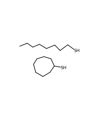 CCCCCCCCS.SC1CCCCCCC1